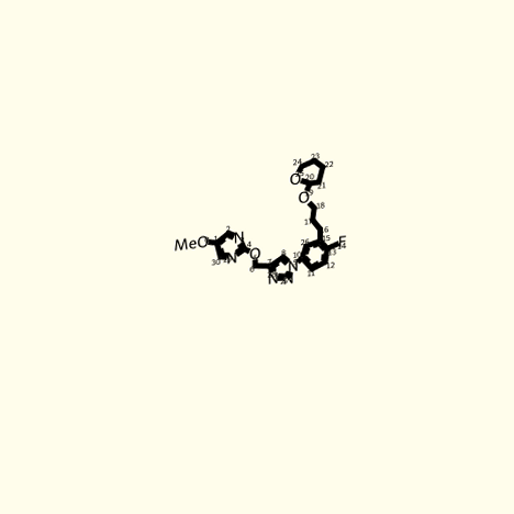 COc1cnc(OCc2cn(-c3ccc(F)c(CCCOC4CCCCO4)c3)nn2)nc1